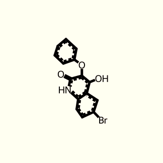 O=c1[nH]c2ccc(Br)cc2c(O)c1Oc1ccccc1